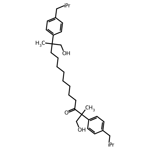 CC(C)Cc1ccc(C(C)(CO)CCCCCCCCC(=O)C(C)(CO)c2ccc(CC(C)C)cc2)cc1